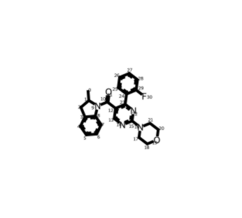 CC1Cc2ccccc2N1C(=O)c1cnc(N2CCOCC2)nc1-c1ccccc1F